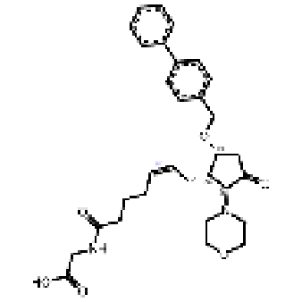 O=C(O)CNC(=O)CCC/C=C\C[C@H]1[C@H](N2CCOCC2)C(=O)C[C@H]1OCc1ccc(-c2ccccc2)cc1